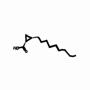 CCCCCCCCC[C@H]1C[C@H]1C(=O)O